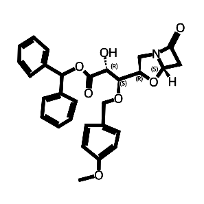 COc1ccc(CO[C@H]([C@H]2CN3C(=O)C[C@@H]3O2)[C@@H](O)C(=O)OC(c2ccccc2)c2ccccc2)cc1